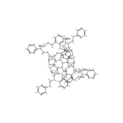 CCCC(C(C(CC12CCC(O1)C(COCc1ccccc1)C2Cc1ccccc1OCOC)C12CCC(O1)C(COCc1ccccc1)C2Cc1ccccc1OCOC)C12CCC(O1)C(COCc1ccccc1)C2Cc1ccccc1OCOC)C12CCC(O1)C(COCc1ccccc1)C2Cc1ccccc1OCOC